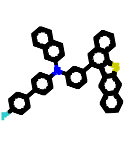 Fc1ccc(-c2ccc(N(c3cccc(-c4cc5ccccc5c5sc6cc7ccccc7cc6c45)c3)c3ccc4ccccc4c3)cc2)cc1